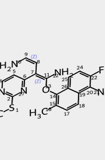 CSc1nccc(C(/C=C\N)=C(/N)Oc2c(C)ccc3c(N)c(F)ccc23)n1